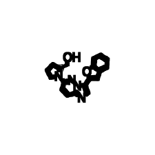 OC[C@@H]1CCCN1c1ccc2ncc(-c3cc4ccccc4o3)n2n1